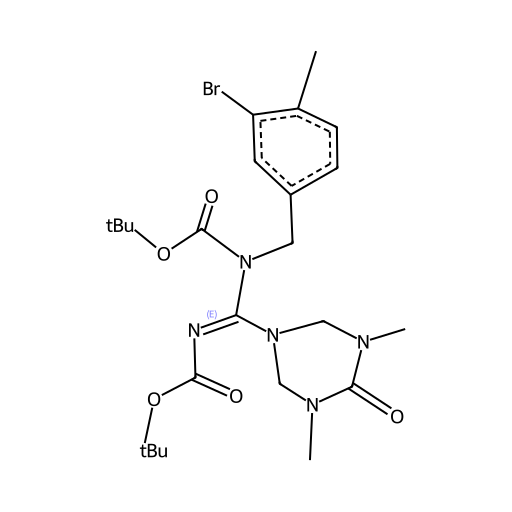 Cc1ccc(CN(C(=O)OC(C)(C)C)/C(=N/C(=O)OC(C)(C)C)N2CN(C)C(=O)N(C)C2)cc1Br